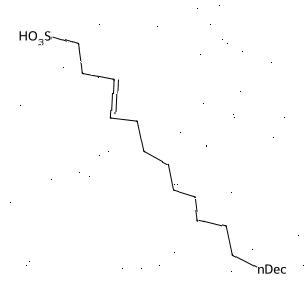 CCCCCCCCCCCCCCCCCC/C=C/CCS(=O)(=O)O